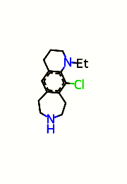 CCN1CCCc2cc3c(c(Cl)c21)CCNCC3